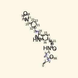 C#C/C=C(\C=C/CNC(=O)[C@@H]1C[C@H]1c1ccc2c(/C=C/c3cccc(CN4CCOCC4)c3)n[nH]c2c1)OC